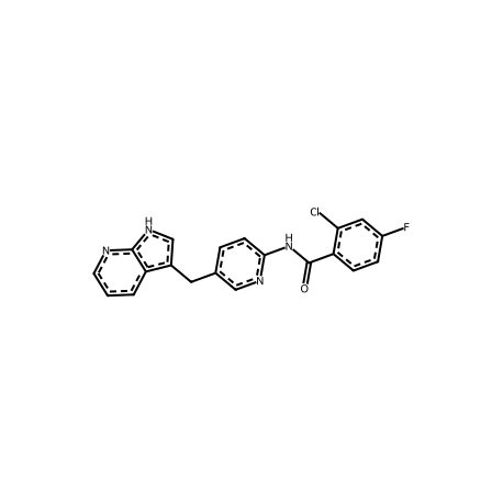 O=C(Nc1ccc(Cc2c[nH]c3ncccc23)cn1)c1ccc(F)cc1Cl